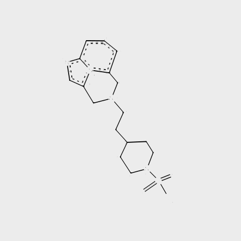 O=S(=O)(N1CCC(CCN2Cc3cccc4ncc(n34)C2)CC1)C(F)(F)F